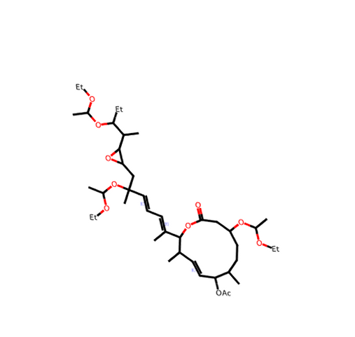 CCOC(C)OC1CCC(C)C(OC(C)=O)/C=C/C(C)C(/C(C)=C/C=C/C(C)(CC2OC2C(C)C(CC)OC(C)OCC)OC(C)OCC)OC(=O)C1